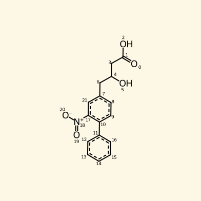 O=C(O)CC(O)Cc1ccc(-c2ccccc2)c([N+](=O)[O-])c1